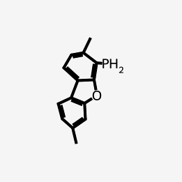 Cc1ccc2c(c1)oc1c(P)c(C)ccc12